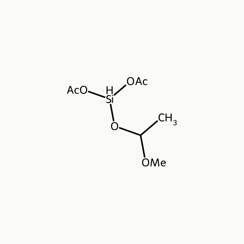 COC(C)O[SiH](OC(C)=O)OC(C)=O